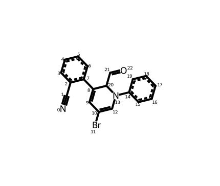 N#Cc1ccccc1C1=CC(Br)=CN(c2ccccc2)C1C=O